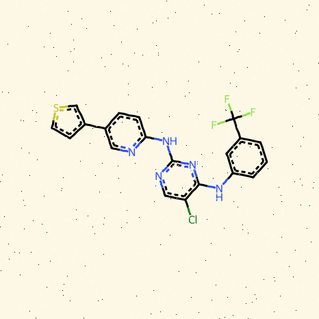 FC(F)(F)c1cccc(Nc2nc(Nc3ccc(-c4ccsc4)cn3)ncc2Cl)c1